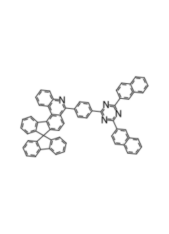 c1ccc2c(c1)-c1ccccc1C21c2ccccc2-c2c1ccc1c(-c3ccc(-c4nc(-c5ccc6ccccc6c5)nc(-c5ccc6ccccc6c5)n4)cc3)nc3ccccc3c21